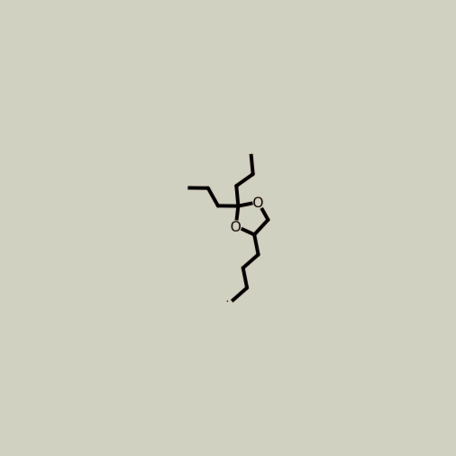 [CH2]CCCC1COC(CCC)(CCC)O1